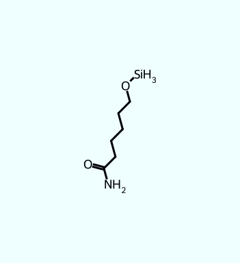 NC(=O)CCCCCO[SiH3]